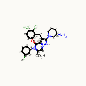 Cl.N[C@@H]1CCCN(c2nn3cc(C(=O)O)n(-c4cccc(F)c4)c(=O)c3c2Cc2ccccc2Cl)C1